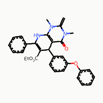 C=C1N(C)C(=O)C2=C(NC(c3ccccc3)=C(C(=O)OCC)C2c2cccc(Oc3ccccc3)c2)N1C